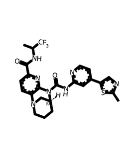 Cc1ncc(-c2ccnc(NC(=O)N3c4nc(C(=O)NC(C)C(F)(F)F)ccc4N4CCC[C@H]3C4)c2)s1